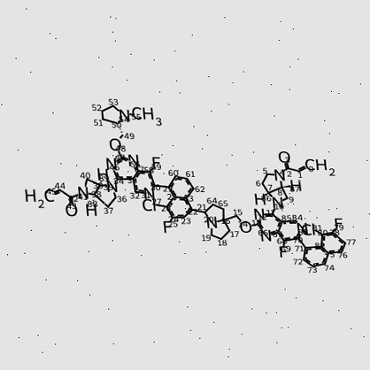 C=CC(=O)N1CC[C@@H]2[C@H]1CN2c1nc(OCC23CCCN2C(c2cc(F)c(Cl)c4c(-c5ncc6c(N7CC[C@@H]8[C@H]7CN8C(=O)C=C)nc(OC[C@@H]7CCCN7C)nc6c5F)cccc24)CC3)nc2c(F)c(-c3cccc4ccc(F)c(Cl)c34)ncc12